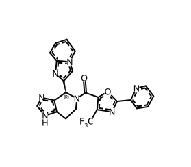 O=C(c1oc(-c2ccccn2)nc1C(F)(F)F)N1CCc2[nH]cnc2[C@H]1c1cn2ccccc2n1